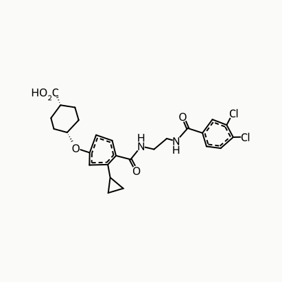 O=C(NCCNC(=O)c1ccc(O[C@H]2CC[C@@H](C(=O)O)CC2)cc1C1CC1)c1ccc(Cl)c(Cl)c1